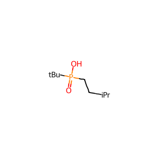 CC(C)CCP(=O)(O)C(C)(C)C